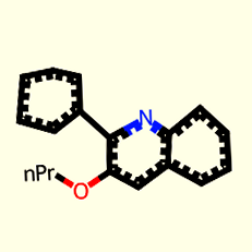 CCCOc1cc2ccccc2nc1-c1ccccc1